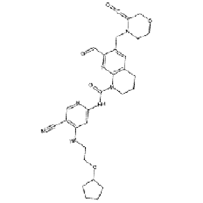 N#Cc1cnc(NC(=O)N2CCCc3cc(CN4CCOCC4=C=O)c(C=O)nc32)cc1NCCOC1CCCC1